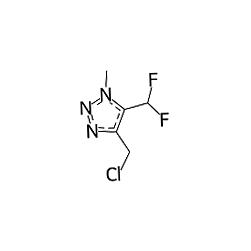 Cn1nnc(CCl)c1C(F)F